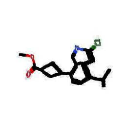 COC(=O)C1CC(c2ccc(C(C)C)c3cc(Cl)ncc23)C1